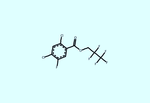 O=C(OCC(F)(F)C(F)(F)F)c1cc(F)c(Cl)cc1Cl